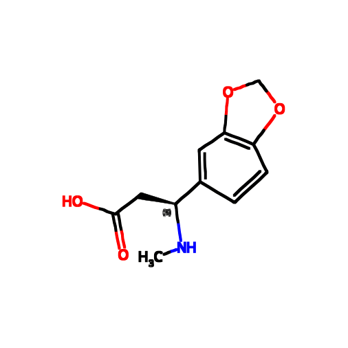 CN[C@@H](CC(=O)O)c1ccc2c(c1)OCO2